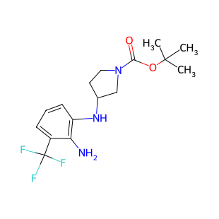 CC(C)(C)OC(=O)N1CCC(Nc2cccc(C(F)(F)F)c2N)C1